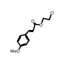 COc1ccc(/C=C/C(=O)OCCCl)cc1